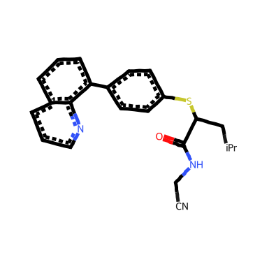 CC(C)CC(Sc1ccc(-c2cccc3cccnc23)cc1)C(=O)NCC#N